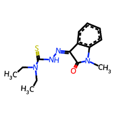 CCN(CC)C(=S)NN=C1C(=O)N(C)c2ccccc21